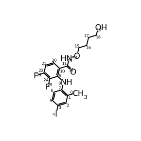 Cc1cc(I)ccc1Nc1c(C(=O)NOCCCCO)ccc(F)c1F